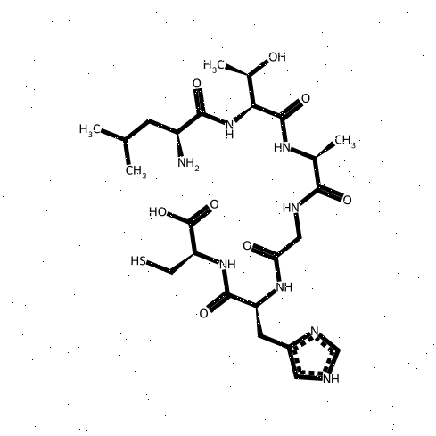 CC(C)C[C@H](N)C(=O)N[C@H](C(=O)N[C@@H](C)C(=O)NCC(=O)N[C@@H](Cc1c[nH]cn1)C(=O)N[C@@H](CS)C(=O)O)[C@@H](C)O